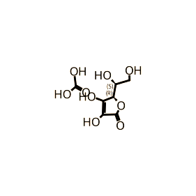 O=C(O)O.O=C1O[C@H]([C@@H](O)CO)C(O)=C1O